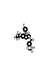 O=C1COc2ccc(C(=O)N3CCC4(S(=O)(=O)c5ccc(F)cc5)c5ccc(C(F)(C(F)(F)F)C(F)(F)F)cc5CC34)cc2N1